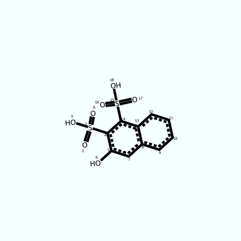 O=S(=O)(O)c1c(O)cc2ccccc2c1S(=O)(=O)O